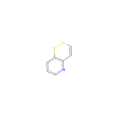 C1=Cc2ncccc2SS1